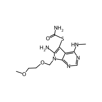 CNc1ncnc2c1c(SC(N)=O)c(N)n2COCCOC